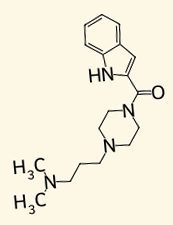 CN(C)CCCN1CCN(C(=O)c2cc3ccccc3[nH]2)CC1